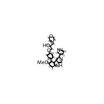 COc1ccc2[nH]c3cnc(-c4cccnc4)cc3c2c1-c1ccc(OCC(O)CN2CCOCC2)cc1